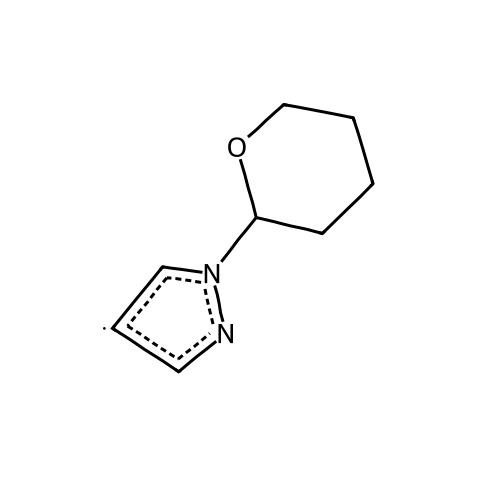 [c]1cnn(C2CCCCO2)c1